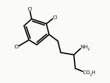 NC(CCc1cc(Cl)cc(Cl)c1Cl)CC(=O)O